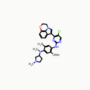 COc1cc(N(C)C2CCN(C)C2)c([N+](=O)[O-])cc1Nc1ncc(Cl)c(-c2cn3c4c(cccc24)OCC3)n1